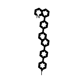 Ic1ccc(-c2ccc(-c3ccc4cc(-c5ccc(-c6cccc7cccnc67)cc5)ccc4c3)cc2)cc1